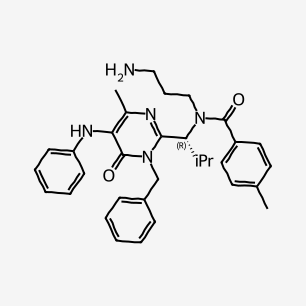 Cc1ccc(C(=O)N(CCCN)[C@@H](c2nc(C)c(Nc3ccccc3)c(=O)n2Cc2ccccc2)C(C)C)cc1